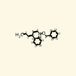 C=C/C=C(\C=C/NOCc1ccccc1)c1ccccc1